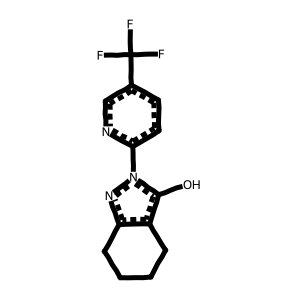 Oc1c2c(nn1-c1ccc(C(F)(F)F)cn1)CCCC2